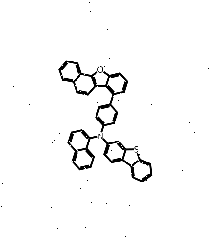 c1ccc2c(N(c3ccc(-c4cccc5oc6c7ccccc7ccc6c45)cc3)c3ccc4c(c3)sc3ccccc34)cccc2c1